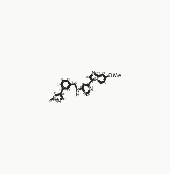 COc1ccn2c(-c3cc(NCc4cccc(-c5cnn(C)c5)c4)ncn3)cnc2c1